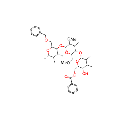 COC[C@@H]1O[C@@H](O[C@@H]2C(COCc3ccccc3)O[C@@H](C)C(C)[C@H]2C)C(OC)C(C)[C@@H]1O[C@H]1O[C@@H](COC(=O)c2ccccc2)[C@@H](O)C(C)C1C